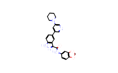 O=C(Nc1ccc2c(c1)OCO2)c1n[nH]c2ccc(-c3cncc(N4CCCCC4)c3)cc12